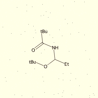 CCC(NC(=O)C(C)(C)C)OC(C)(C)C